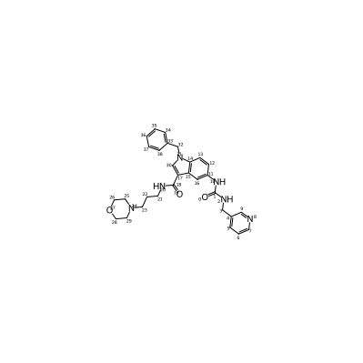 O=C(NCc1cccnc1)Nc1ccc2c(c1)c(C(=O)NCCCN1CCOCC1)cn2Cc1ccccc1